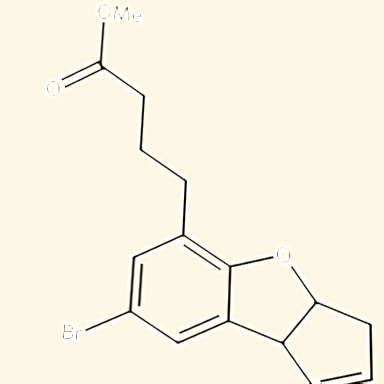 COC(=O)CCCc1cc(Br)cc2c1OC1CC=CC21